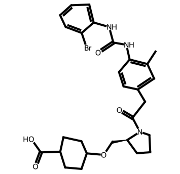 Cc1cc(CC(=O)N2CCC[C@H]2COC2CCC(C(=O)O)CC2)ccc1NC(=O)Nc1ccccc1Br